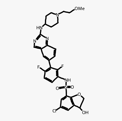 COCCN1CCC(Nc2ncc3cc(-c4c(F)ccc(NS(=O)(=O)c5cc(Cl)cc6c5OCC6O)c4F)ccc3n2)CC1